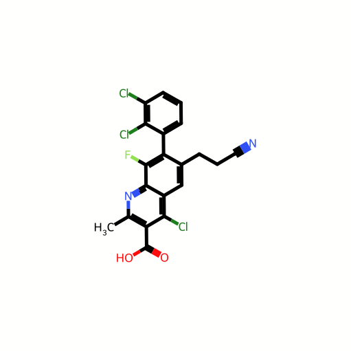 Cc1nc2c(F)c(-c3cccc(Cl)c3Cl)c(CCC#N)cc2c(Cl)c1C(=O)O